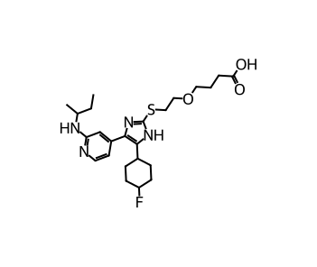 CCC(C)Nc1cc(-c2nc(SCCOCCCC(=O)O)[nH]c2C2CCC(F)CC2)ccn1